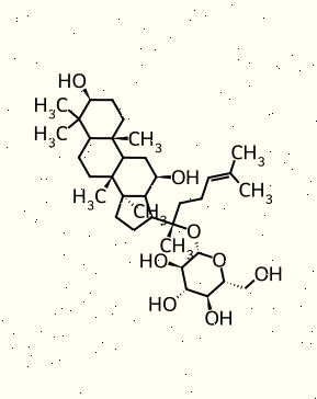 CC(C)=CCC[C@](C)(O[C@@H]1O[C@H](CO)[C@@H](O)[C@H](O)[C@H]1O)C1CC[C@]2(C)C1[C@H](O)CC1[C@@]3(C)CC[C@H](O)C(C)(C)C3CC[C@]12C